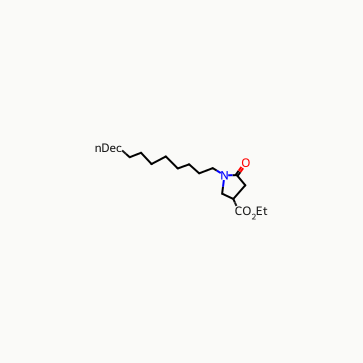 CCCCCCCCCCCCCCCCCCN1CC(C(=O)OCC)CC1=O